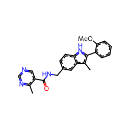 COc1ccccc1-c1[nH]c2ccc(CNC(=O)c3cncnc3C)cc2c1C